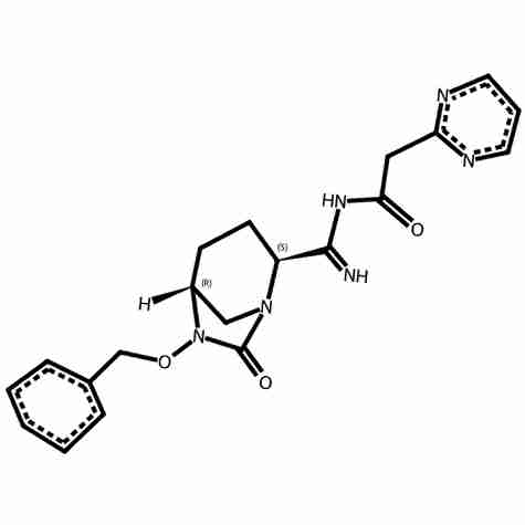 N=C(NC(=O)Cc1ncccn1)[C@@H]1CC[C@@H]2CN1C(=O)N2OCc1ccccc1